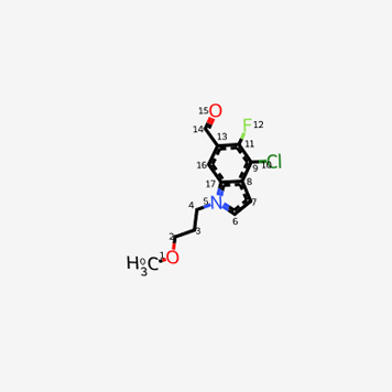 COCCCn1ccc2c(Cl)c(F)c(C=O)cc21